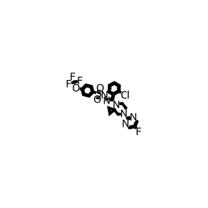 O=S(=O)(c1ccc(OC(F)(F)F)cc1)n1nc(N2CCN(c3ncc(F)cn3)CC23CC3)c2c(Cl)cccc21